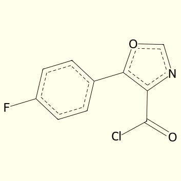 O=C(Cl)c1ncoc1-c1ccc(F)cc1